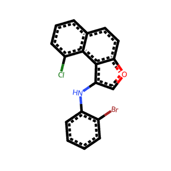 Clc1cccc2ccc3occ(Nc4ccccc4Br)c3c12